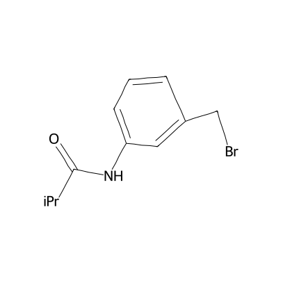 CC(C)C(=O)Nc1cccc(CBr)c1